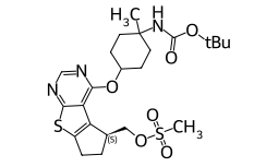 CC1(NC(=O)OC(C)(C)C)CCC(Oc2ncnc3sc4c(c23)[C@@H](COS(C)(=O)=O)CC4)CC1